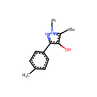 Cc1ccc(-c2nn(C(C)C)c(C(C)(C)C)c2O)cc1